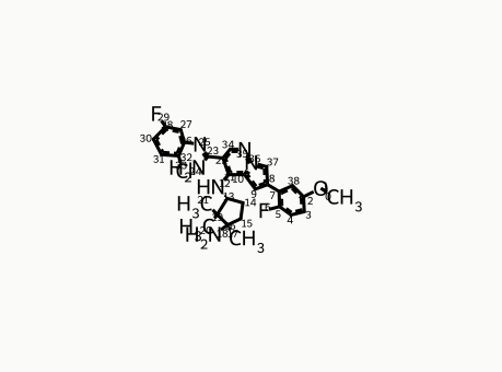 COc1ccc(F)c(-c2cc3c(N[C@@H]4CC[C@](C)(N)C4(C)C)c(/C(N)=N/c4cc(F)ccc4Cl)cnn3c2)c1